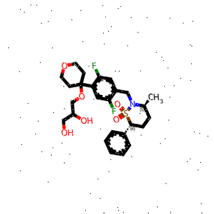 C[C@H]1CC[C@H](c2ccccc2)S(=O)(=O)N1Cc1cc(F)c(C2(OCC(O)CO)CCOCC2)cc1F